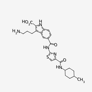 CC1CCC(NC(=O)c2csc(NC(=O)c3ccc4[nH]c(C(=O)O)c(CCCN)c4c3)n2)CC1